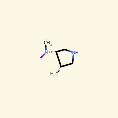 C[C@H]1CNC[C@H]1N(C)I